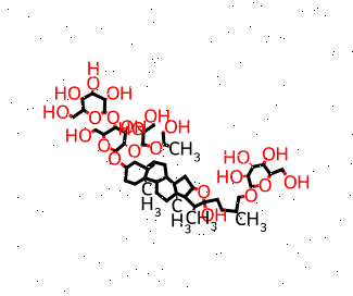 CC(CO)OC(O[C@@H]1C(OC2CC[C@@]3(C)C(=CCC4C5CC6OC(O)(CC[C@@H](C)COC7OC(CO)C(O)[C@@H](O)[C@@H]7O)[C@@H](C)C6[C@@]5(C)CCC43)C2)OC(CO)C(OC2OC(CO)C(O)[C@@H](O)[C@@H]2O)[C@H]1O)[C@@H](O)CO